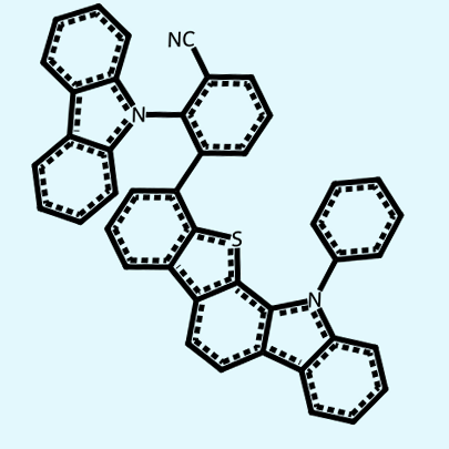 N#Cc1cccc(-c2cccc3c2sc2c3ccc3c4ccccc4n(-c4ccccc4)c32)c1-n1c2ccccc2c2ccccc21